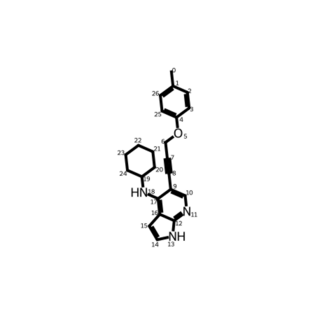 Cc1ccc(OCC#Cc2cnc3[nH]ccc3c2NC2CCCCC2)cc1